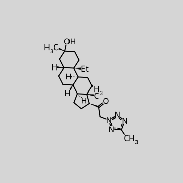 CC[C@]12CC[C@@](C)(O)C[C@H]1CC[C@H]1[C@@H]3CC[C@H](C(=O)Cn4nnc(C)n4)[C@@]3(C)CC[C@@H]12